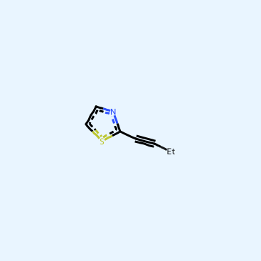 CCC#Cc1nccs1